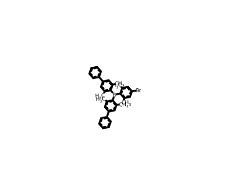 Cc1cc(Br)cc(C)c1B(c1c(C)cc(-c2ccccc2)cc1C)c1c(C)cc(-c2ccccc2)cc1C